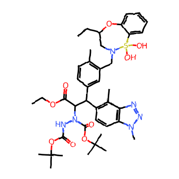 CCOC(=O)C(C(c1ccc(C)c(CN2CC(CC)Oc3ccccc3S2(O)O)c1)c1ccc2c(nnn2C)c1C)N(NC(=O)OC(C)(C)C)C(=O)OC(C)(C)C